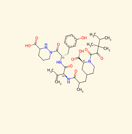 C=C(C)[C@H](NC(=O)C(C)CC1CCN(C(=O)C(=O)C(C)(C)C(C)C)[C@H](C(=O)O)C1)C(=O)N[C@@H](Cc1cccc(O)c1)C(=O)N1CCCC(C(=O)O)N1